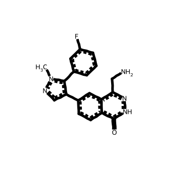 Cn1ncc(-c2ccc3c(=O)[nH]nc(CN)c3c2)c1-c1cccc(F)c1